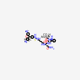 CNC(=O)[C@H](CCC(=O)O)NC(=O)[C@H](Cc1c[nH]c2ccccc12)NC(=O)[C@H](CCC(N)=O)NC(=O)CCCCCNC(=S)Nc1ccc(-c2c3ccc(=[N+](C)C)cc-3oc3cc(N(C)C)ccc23)c(C(=O)O)c1